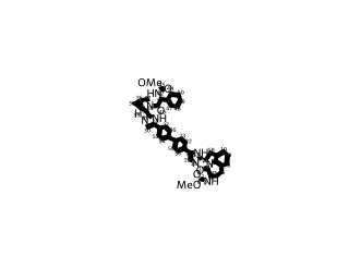 COC(=O)N[C@H]1CCc2cccc3c2N(C1=O)[C@H](c1ncc(-c2ccc(-c4ccc(-c5cnc(C6[C@H]7CC7CN6C(=O)[C@H](NC(=O)OC)c6ccccc6)[nH]5)cc4)cc2)[nH]1)C3